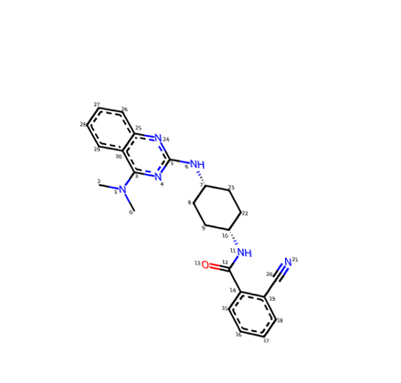 CN(C)c1nc(N[C@H]2CC[C@@H](NC(=O)c3ccccc3C#N)CC2)nc2ccccc12